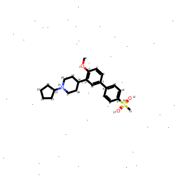 COc1ccc(-c2ccc(S(C)(=O)=O)cc2)cc1C1CCN(C2CCCC2)CC1